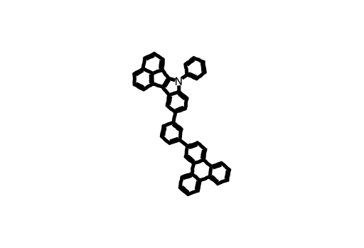 c1ccc(-n2c3c(c4cc(-c5cccc(-c6ccc7c8ccccc8c8ccccc8c7c6)c5)ccc42)-c2cccc4cccc-3c24)cc1